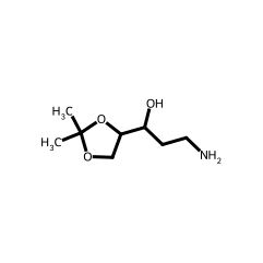 CC1(C)OCC(C(O)CCN)O1